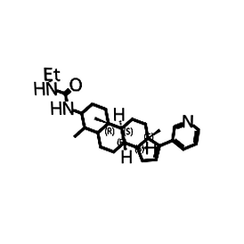 CCNC(=O)NC1CC[C@@]2(C)C(CC[C@@H]3[C@@H]2CC[C@]2(C)C(c4cccnc4)=CC[C@@H]32)C1C